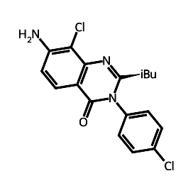 CC[C@H](C)c1nc2c(Cl)c(N)ccc2c(=O)n1-c1ccc(Cl)cc1